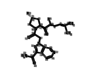 CC(C)=CCN(F)C(=O)[C@@H]1C[C@@H](F)CN1C(=O)Cn1nc(C(N)=O)c2ccncc21